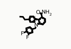 CCCc1c[c]c2c3c(C(N)=O)cccc3n(Cc3ccc(F)c(F)c3)c2c1